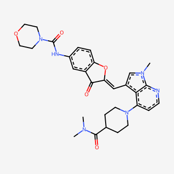 CN(C)C(=O)C1CCN(c2ccnc3c2c(C=C2Oc4ccc(NC(=O)N5CCOCC5)cc4C2=O)cn3C)CC1